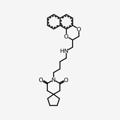 O=C1CC2(CCCC2)CC(=O)N1CCCCNCC1COc2ccc3ccccc3c2O1